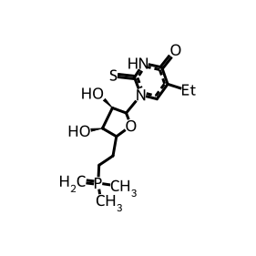 C=P(C)(C)CCC1OC(n2cc(CC)c(=O)[nH]c2=S)[C@H](O)[C@@H]1O